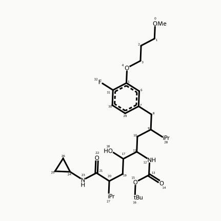 COCCCOc1cc(CC(CC(NC(=O)OC(C)(C)C)C(O)CC(C(=O)NC2CC2)C(C)C)C(C)C)ccc1F